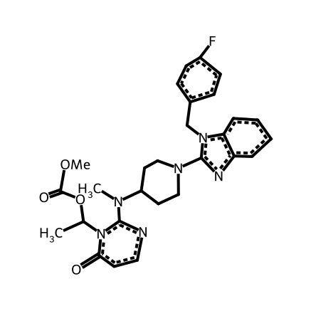 COC(=O)OC(C)n1c(N(C)C2CCN(c3nc4ccccc4n3Cc3ccc(F)cc3)CC2)nccc1=O